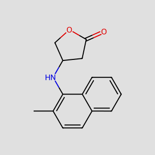 Cc1ccc2ccccc2c1NC1COC(=O)C1